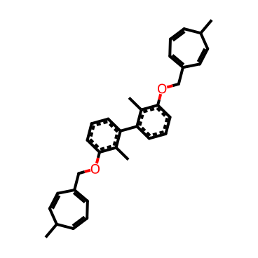 Cc1c(OCC2=CC=CC(C)C=C2)cccc1-c1cccc(OCC2=CC=CC(C)C=C2)c1C